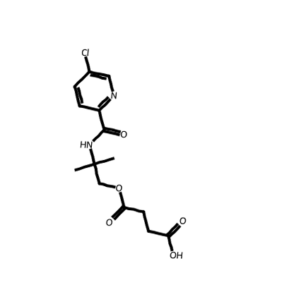 CC(C)(COC(=O)CCC(=O)O)NC(=O)c1ccc(Cl)cn1